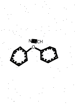 C#N.c1ccc(Oc2ccccc2)cc1